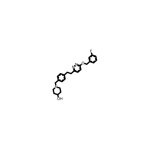 OC1CCN(Cc2ccc(CCc3ccc(OCc4cccc(F)c4)nn3)cc2)CC1